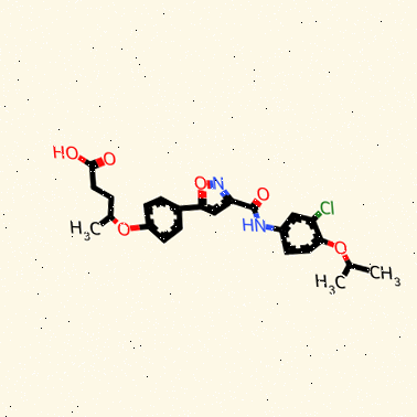 CC(C)Oc1ccc(NC(=O)c2cc(-c3ccc(OC(C)CCC(=O)O)cc3)on2)cc1Cl